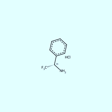 Cl.N[C@@H](c1ccccc1)C(F)(F)F